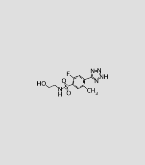 Cc1cc(S(=O)(=O)NCCO)c(F)cc1-c1nn[nH]n1